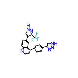 FC(F)(F)c1n[nH]cc1-c1ccc2nccc(-c3ccc(-c4c[nH]nn4)cc3)c2c1